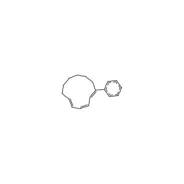 C1=C\C=C\CCCCCC/C(c2ccccc2)=C/1